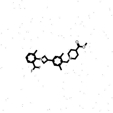 COC(=O)C1CCN(Cc2c(C)cc(C3CN(c4c(C)cccc4C(F)F)C3)cc2C)CC1